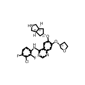 Fc1ccc(Nc2ncnc3cc(O[C@H]4CCOC4)c(O[C@@H]4C[C@H]5CNC[C@H]5C4)cc23)c(F)c1Cl